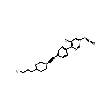 CCCCC1CCC(C#Cc2ccc(-c3ncc(N=C=S)cc3Cl)cc2)CC1